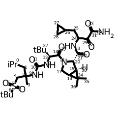 CC(C)CC(C)(CS(=O)(=O)C(C)(C)C)NC(=O)N[C@H](C(=O)N1CC2[C@@H]([C@H]1C(=O)NC(CC1CC1)C(=O)C(N)=O)C2(C)C)C(C)(C)C